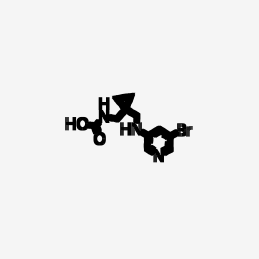 O=C(O)NCC1(CNc2cncc(Br)c2)CC1